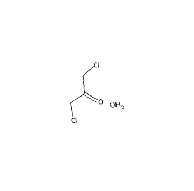 O.O=C(CCl)CCl